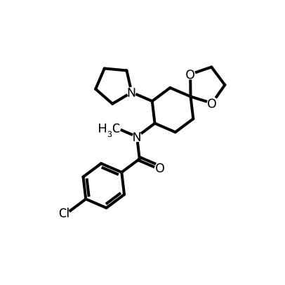 CN(C(=O)c1ccc(Cl)cc1)C1CCC2(CC1N1CCCC1)OCCO2